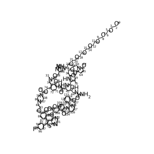 COCCOCCOCCOCCOCCOCCOCCOCCN/C=C(/COC(=O)N(C)Cc1cc(NC(=O)[C@H](CCCNC(N)=O)NC(=O)[C@@H](NC(=O)CCOCCN2C(=O)C=CC2=O)C(C)C)ccc1COC(=O)N1CCN(CCOc2ccc(-c3c(-c4ccc(F)cc4)sc4ncnc(O[C@H](Cc5ccccc5OCc5ccnc(-c6ccccc6OC)n5)C(=O)O)c34)c(C)c2Cl)CC1)N=N